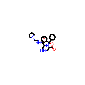 O=C(NCCN1CCCC1)C1CNCC2C(=O)OC(c3ccccc3)(c3ccccc3)N12